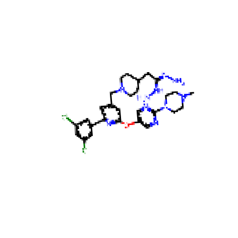 CN1CCN(c2ncc(Oc3cc(CN4CCC(C/C(=N/N)NN)CC4)cc(-c4cc(Cl)cc(Cl)c4)n3)cn2)CC1